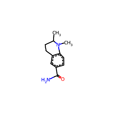 CC1CCc2cc(C(N)=O)ccc2N1C